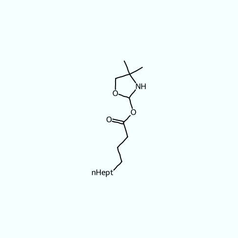 CCCCCCCCCCC(=O)OC1NC(C)(C)CO1